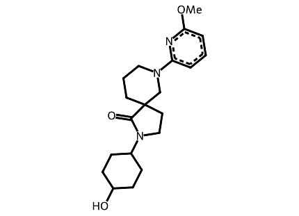 COc1cccc(N2CCCC3(CCN(C4CCC(O)CC4)C3=O)C2)n1